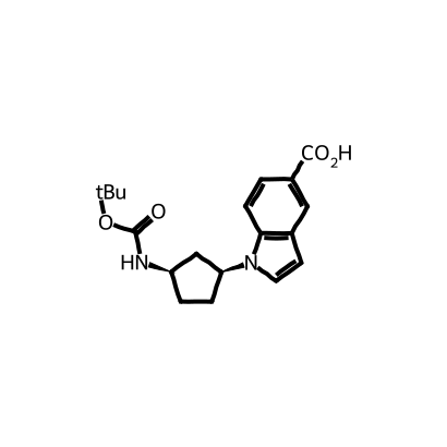 CC(C)(C)OC(=O)N[C@@H]1CC[C@H](n2ccc3cc(C(=O)O)ccc32)C1